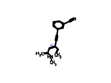 C=C/C(C#Cc1cccc(C#N)c1)=C\C(=C)NC